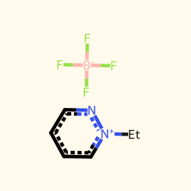 CC[n+]1ccccn1.F[B-](F)(F)F